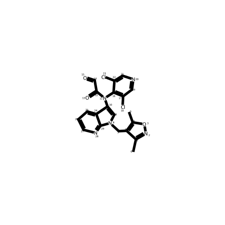 Cc1noc(C)c1Cn1cc(N(C(=O)C=O)c2c(Cl)cncc2Cl)c2cccnc21